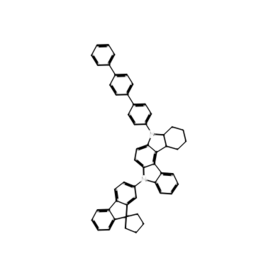 c1ccc(-c2ccc(-c3ccc(N4c5ccc6c(c5C5CCCCC54)c4ccccc4n6-c4ccc5c(c4)C4(CCCC4)c4ccccc4-5)cc3)cc2)cc1